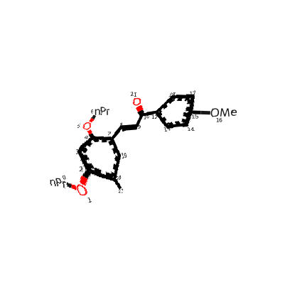 CCCOc1cc(OCCC)c(C=CC(=O)c2ccc(OC)cc2)cc1C